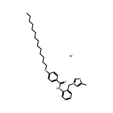 CCCCCCCCCCCCCCOc1ccc(C(=O)Nc2ccccc2C[n+]2csc(C)c2)cc1.[Br-]